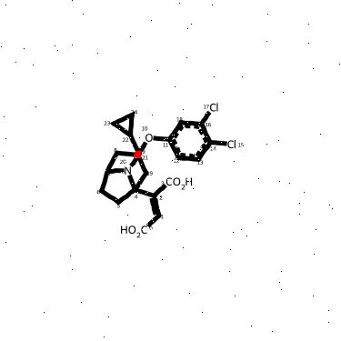 O=C(O)/C=C(/C(=O)O)C12CCC(CC(Oc3ccc(Cl)c(Cl)c3)C1)N2CC1CC1